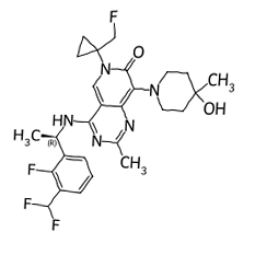 Cc1nc(N[C@H](C)c2cccc(C(F)F)c2F)c2cn(C3(CF)CC3)c(=O)c(N3CCC(C)(O)CC3)c2n1